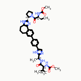 CC[C@H](NC(=O)OC)C(=O)N1CCC[C@H]1c1nc2c([nH]1)CCCc1cc(-c3ccc(-c4cnc([C@H](C)NC(=O)[C@@H](NC(=O)OC)C(C)C)[nH]4)cc3)ccc1-2